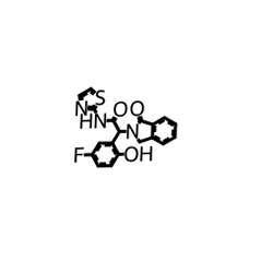 O=C(Nc1nccs1)C(c1cc(F)ccc1O)N1Cc2ccccc2C1=O